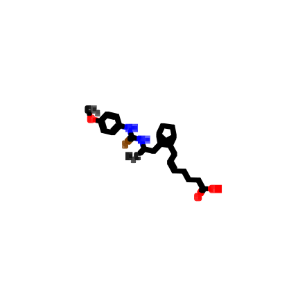 COc1ccc(NC(=S)NC(C)CC2C3CCC(C3)C2C/C=C\CCCC(=O)O)cc1